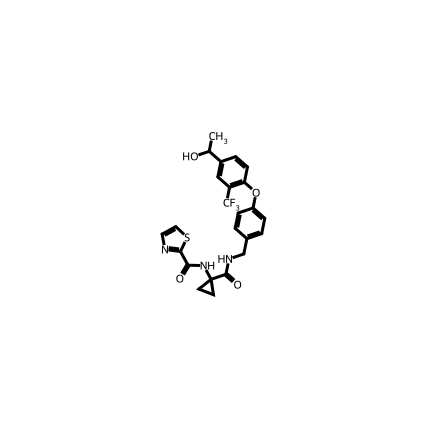 CC(O)c1ccc(Oc2ccc(CNC(=O)C3(NC(=O)c4nccs4)CC3)cc2)c(C(F)(F)F)c1